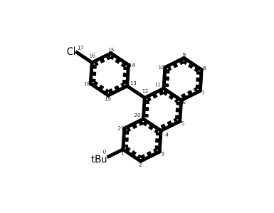 CC(C)(C)c1ccc2cc3ccccc3c(-c3ccc(Cl)cc3)c2c1